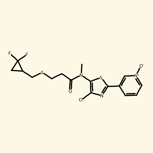 CN(C(=O)CCSCC1CC1(F)F)c1sc(-c2ccc[n+]([O-])c2)nc1Cl